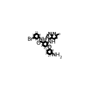 Cc1ccc2c(Nc3cc(C(=O)Nc4cccc(Br)c4)ccc3Oc3cccc(N)c3)ncnc2n1